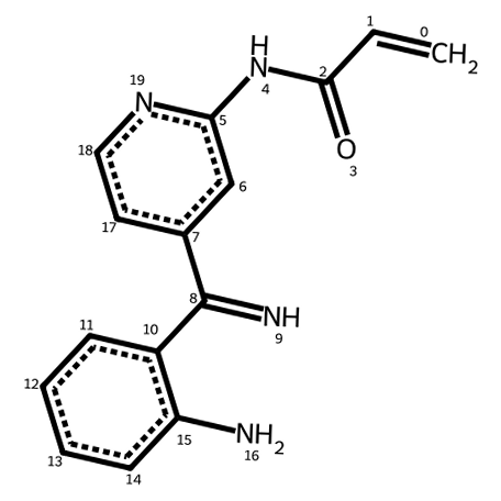 C=CC(=O)Nc1cc(C(=N)c2ccccc2N)ccn1